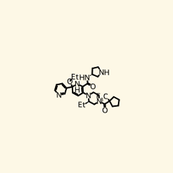 CCOC1(c2cccnc2)C=CC(N2CCN(C(=O)C3(C(F)(F)F)CCCC3)C[C@H]2CC)=C(C(=O)N[C@@H]2CCNC2)N1